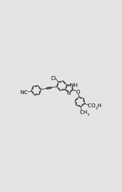 Cc1ccc(Oc2nc3cc(C#Cc4ccc(C#N)cc4)c(Cl)cc3[nH]2)cc1C(=O)O